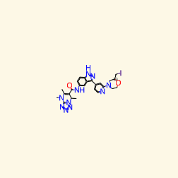 CC1=C(C(=O)Nc2ccc3[nH]nc(-c4ccnc(N5CCO[C@H](CI)C5)c4)c3c2)C(C)n2nnnc2N1C